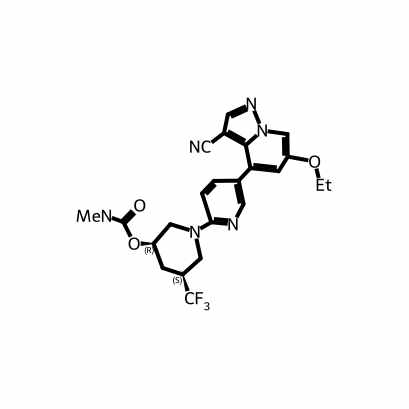 CCOc1cc(-c2ccc(N3C[C@H](OC(=O)NC)C[C@H](C(F)(F)F)C3)nc2)c2c(C#N)cnn2c1